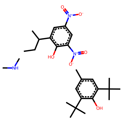 CCC(C)c1cc([N+](=O)[O-])cc([N+](=O)[O-])c1O.CNC.Cc1cc(C(C)(C)C)c(O)c(C(C)(C)C)c1